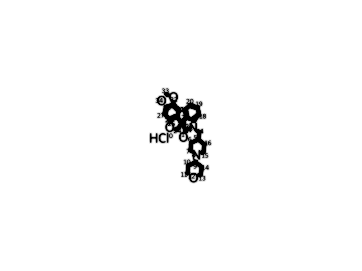 Cl.O=C1N(CC2CCN(C3CCOCC3)CC2)c2ccccc2C12COc1cc3c(cc12)OCO3